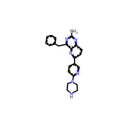 Nc1nc(Cc2ccccc2)c2nc(-c3ccc(N4CCNCC4)nc3)ccc2n1